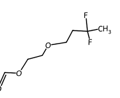 CC(F)(F)CCOCCOC=O